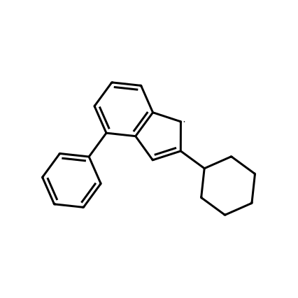 [CH]1C(C2CCCCC2)=Cc2c1cccc2-c1ccccc1